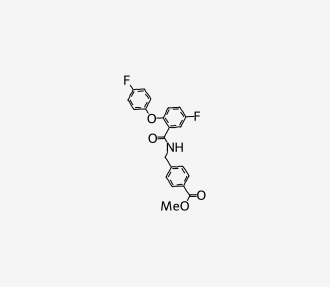 COC(=O)c1ccc(CNC(=O)c2cc(F)ccc2Oc2ccc(F)cc2)cc1